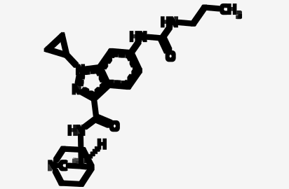 CCCNC(=O)Nc1ccc2c(C(=O)N[C@@H]3CN4CCC3CC4)nn(C3CC3)c2c1